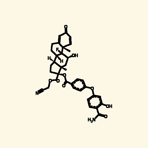 C[C@]12C=CC(=O)C=C1CC[C@H]1[C@@H]3CC[C@@](OC(=O)c4ccc(Oc5ccc(C(N)=O)c(O)c5)cc4)(C(=O)OCC#N)[C@@]3(C)C[C@H](O)C12F